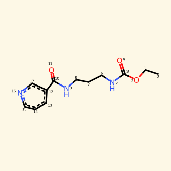 CCOC(=O)NCCCNC(=O)c1cccnc1